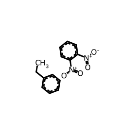 CCc1ccccc1.O=[N+]([O-])c1ccccc1[N+](=O)[O-]